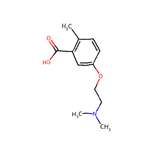 Cc1ccc(OCCN(C)C)cc1C(=O)O